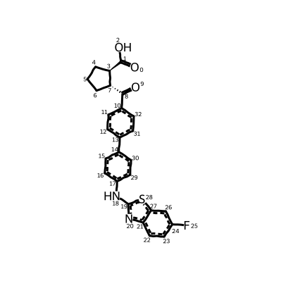 O=C(O)[C@@H]1CCC[C@H]1C(=O)c1ccc(-c2ccc(Nc3nc4ccc(F)cc4s3)cc2)cc1